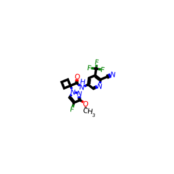 COc1nn(C2(C(=O)Nc3cnc(C#N)c(C(F)(F)F)c3)CCC2)cc1F